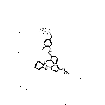 CCOC(=O)Cc1ccc(F)c(OCc2ccccc2Cn2c(-c3ccc(OC(F)(F)F)cc3)nc3ccccc32)c1